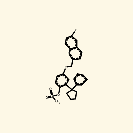 O=S(=O)(Oc1ccc(OCc2ccc3cc(F)ccc3n2)cc1C1(c2ccccc2)CCCC1)C(F)(F)F